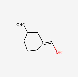 O=CC1=CC(=CO)CCC1